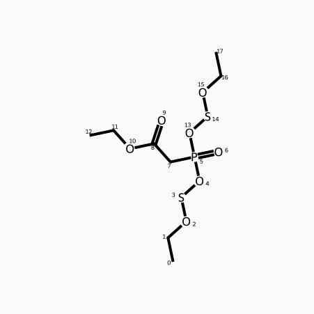 CCOSOP(=O)(CC(=O)OCC)OSOCC